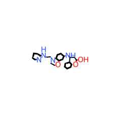 O=C(O)CC(Nc1ccc2c(c1)OCCN2CCNc1ccccn1)c1ccccc1